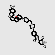 O=C1CC[C@H](N2Cc3cc(N4CCN(CC5CCN(c6ccc([C@H]7c8ccc(O)cc8CO[C@]78CCc7ccccc78)cc6)CC5)CC4)ccc3C2=O)C(=O)N1